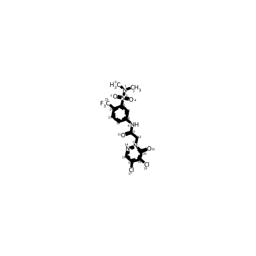 CN(C)S(=O)(=O)c1cc(NC(=O)Cn2ncc(Cl)c(Cl)c2=O)ccc1C(F)(F)F